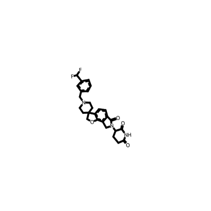 O=C1CCC(N2Cc3c(ccc4c3OCC43CCN(Cc4cccc(C(F)F)c4)CC3)C2=O)C(=O)N1